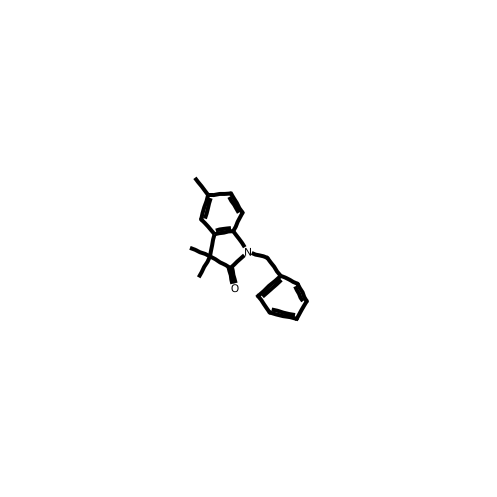 Cc1ccc2c(c1)C(C)(C)C(=O)N2Cc1ccccc1